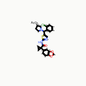 CC(=O)O[C@@H]1CCN(C(c2cnc(NC(=O)C3(c4ccc5c(c4)OCO5)CC3)s2)c2ccccc2Cl)C1